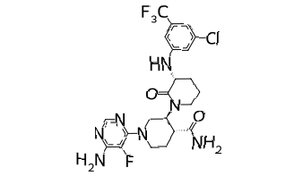 NC(=O)[C@@H]1CCN(c2ncnc(N)c2F)C[C@H]1N1CCC[C@@H](Nc2cc(Cl)cc(C(F)(F)F)c2)C1=O